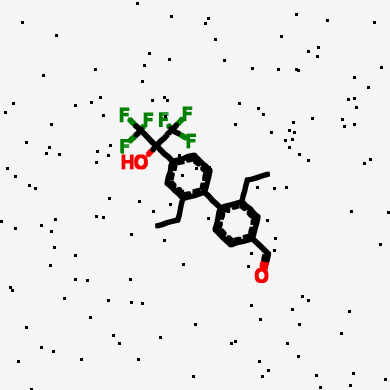 CCc1cc(C=O)ccc1-c1ccc(C(O)(C(F)(F)F)C(F)(F)F)cc1CC